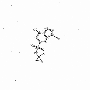 CC1(NS(=O)(=O)c2cc(Cl)n3ncc(I)c3c2)CC1